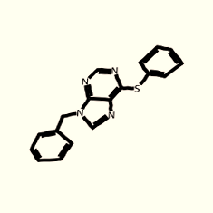 c1ccc(Cn2cnc3c(Sc4ccccc4)ncnc32)cc1